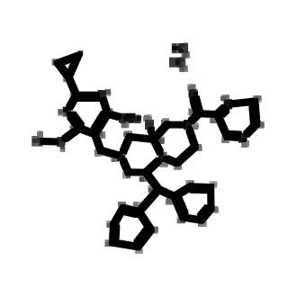 CCOc1nc(C2CC2)nc(OC)c1CN1CC(C(c2ccccc2)c2ccccc2)N2CCN(C(=O)c3cnccn3)C[C@H]2C1.Cl.Cl